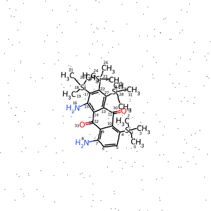 C[Si](C)(C)c1ccc(N)c2c1C(=O)c1c(c(N)c([Si](C)(C)C)c([Si](C)(C)C)c1[Si](C)(C)C)C2=O